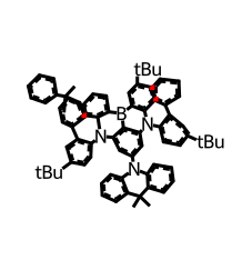 CC(C)(C)c1ccc2c(c1)B1c3ccc(C(C)(C)c4ccccc4)cc3N(c3ccc(C(C)(C)C)cc3-c3ccccc3)c3cc(N4c5ccccc5C(C)(C)c5ccccc54)cc(c31)N2c1ccc(C(C)(C)C)cc1-c1ccccc1